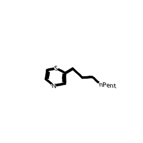 CCCCCCCCC1=C[N]C=CS1